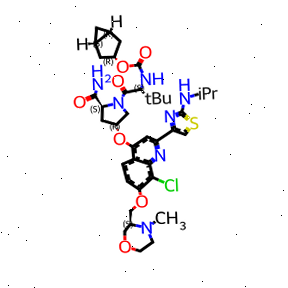 CC(C)Nc1nc(-c2cc(O[C@@H]3C[C@@H](C(N)=O)N(C(=O)[C@@H](NC(=O)O[C@@H]4C[C@@H]5C[C@@H]5C4)C(C)(C)C)C3)c3ccc(OC[C@@H]4COCCN4C)c(Cl)c3n2)cs1